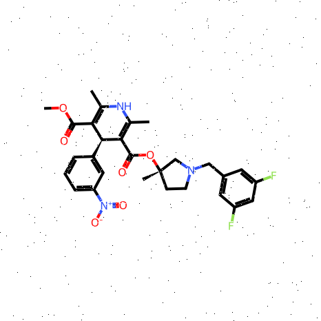 COC(=O)C1=C(C)NC(C)=C(C(=O)O[C@@]2(C)CCN(Cc3cc(F)cc(F)c3)C2)[C@H]1c1cccc([N+](=O)[O-])c1